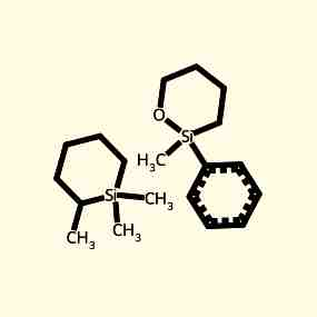 CC1CCCC[Si]1(C)C.C[Si]1(c2ccccc2)CCCCO1